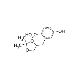 CC1(C)OCC(Cc2cc(O)ccc2C(=O)O)O1